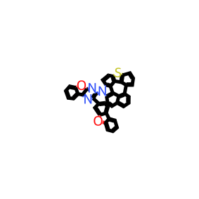 c1cc2c3c(c1)ccc1c3c3c4c(ccc3n1-c1nc3oc5ccccc5c3nc1-c1ccc3c(c1)oc1ccccc13)sc1cccc-2c14